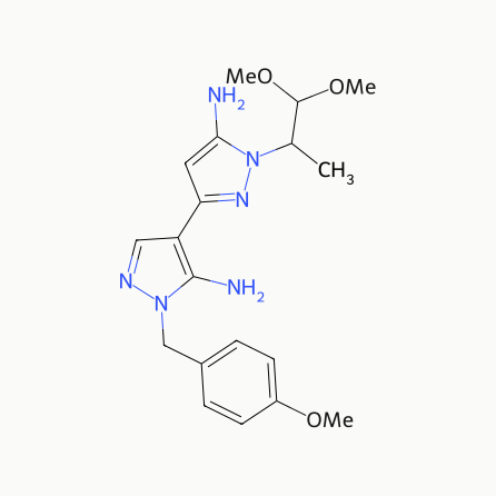 COc1ccc(Cn2ncc(-c3cc(N)n(C(C)C(OC)OC)n3)c2N)cc1